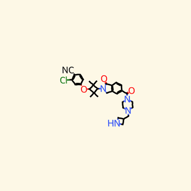 CC1(C)C(Oc2ccc(C#N)c(Cl)c2)C(C)(C)C1N1Cc2cc(C(=O)N3CCN(CC4CNC4)CC3)ccc2C1=O